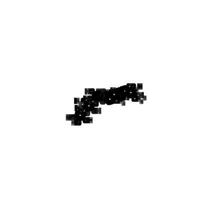 C[C@@H]1O[C@@H](O[C@H]2[C@H](O[C@H]3CC[C@@]4(C)[C@@H](CC[C@]5(C)[C@@H]4CC=C4[C@@H]6CC(C)(C)CC[C@]6(C(=O)O)CC[C@]45C)[C@]3(C)CO)OC[C@H](O)[C@@H]2O)[C@H](O)[C@H](O[C@@H]2OC[C@H](O)[C@H](O)[C@H]2O)[C@H]1O